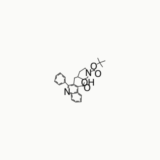 CC(C)(C)OC(=O)N1CCC(Cc2c(-c3ccccc3)nc3ccccc3c2C(=O)O)CC1